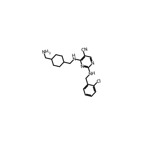 N#Cc1cnc(NCc2ccccc2Cl)nc1NCC1CCC(CN)CC1